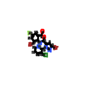 O=c1oc(-c2cc(Br)nn2-c2ncccc2Cl)nc2c(Br)cc(F)cc12